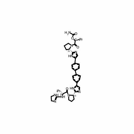 CC(C)[C@H](OC(N)=O)C(=O)N1CCC[C@H]1c1ncc(-c2ccc(-c3ccc(-c4cnc([C@@H]5CCCN5C(=O)[C@H](NC5=NCCN5)C(C)C)[nH]4)cc3)cc2)[nH]1